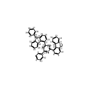 c1ccc(-c2nc(-c3cccc4oc5ccccc5c34)nc(-c3cccc4c3c3ccccc3n4-c3ccccc3)n2)cc1